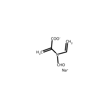 C=CN(C=O)C(=C)C(=O)[O-].[Na+]